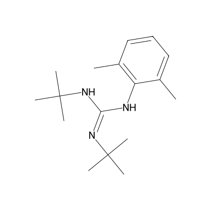 Cc1cccc(C)c1N/C(=N\C(C)(C)C)NC(C)(C)C